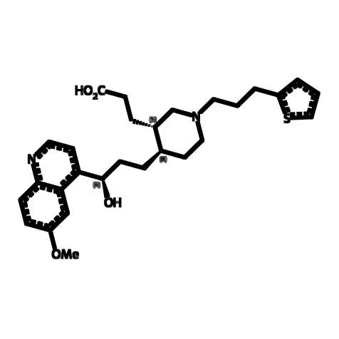 COc1ccc2nccc([C@H](O)CC[C@@H]3CCN(CCCc4cccs4)C[C@H]3CCC(=O)O)c2c1